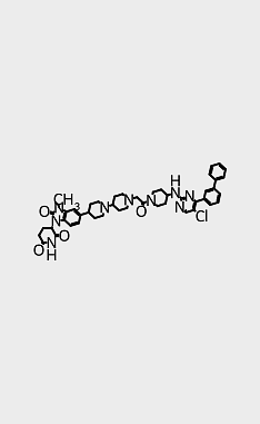 Cn1c(=O)n(C2CCC(=O)NC2=O)c2ccc(C3CCN(C4CCN(CC(=O)N5CCC(Nc6ncc(Cl)c(-c7cccc(-c8ccccc8)c7)n6)CC5)CC4)CC3)cc21